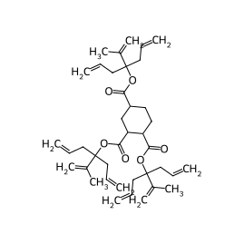 C=CCC(CC=C)(OC(=O)C1CCC(C(=O)OC(CC=C)(CC=C)C(=C)C)C(C(=O)OC(CC=C)(CC=C)C(=C)C)C1)C(=C)C